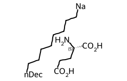 CCCCCCCCCCCCCCCCC[CH2][Na].N[C@@H](CCC(=O)O)C(=O)O